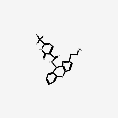 CCCc1ccc2c(c1)C(NC(=O)c1ccc(C(F)(F)F)[nH]c1=O)c1ccccc1S2